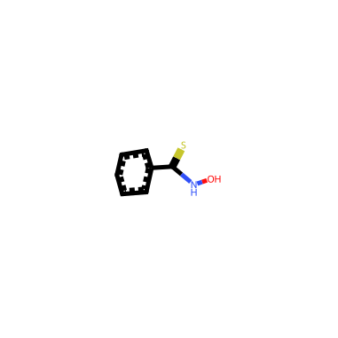 ONC(=S)c1ccccc1